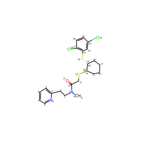 CN(CCc1ccccn1)C(=O)CS[C@@H]1CCCC[C@H]1Sc1cc(Cl)ccc1Cl